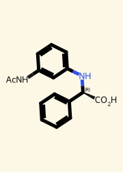 CC(=O)Nc1cccc(N[C@@H](C(=O)O)c2ccccc2)c1